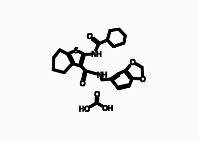 O=C(NCc1ccc2c(c1)OCO2)c1c(NC(=O)C2CCCCC2)sc2c1CCCC2.O=C(O)O